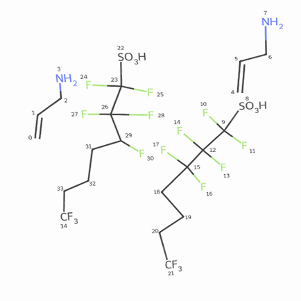 C=CCN.C=CCN.O=S(=O)(O)C(F)(F)C(F)(F)C(F)(F)CCCC(F)(F)F.O=S(=O)(O)C(F)(F)C(F)(F)C(F)CCCC(F)(F)F